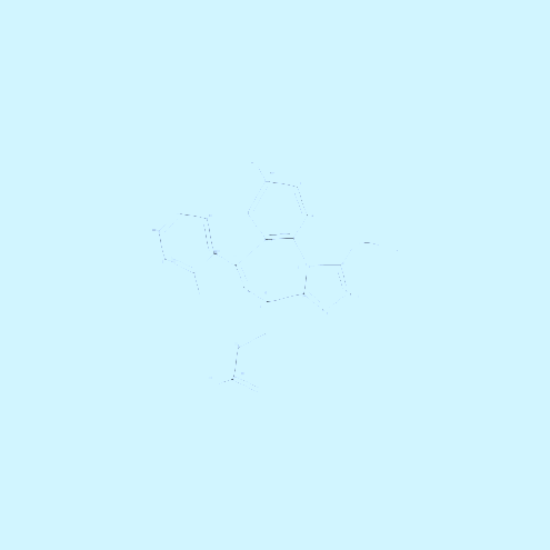 CSc1nnc2n1-c1ccc(Br)cc1C(c1ccccc1F)=N[C@H]2CCC(=O)O